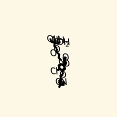 Cc1cnc(COc2cc3oc(=O)n(CCC(=O)OCC(N)(CO)CO)c3cc2Cl)o1